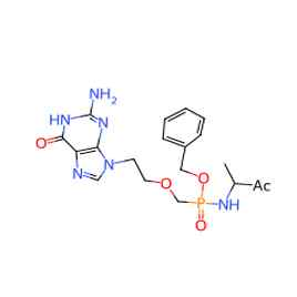 CC(=O)C(C)NP(=O)(COCCn1cnc2c(=O)[nH]c(N)nc21)OCc1ccccc1